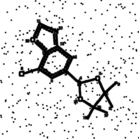 CC1(C)OB(c2cc(Cl)c3ocnc3c2)OC1(C)C